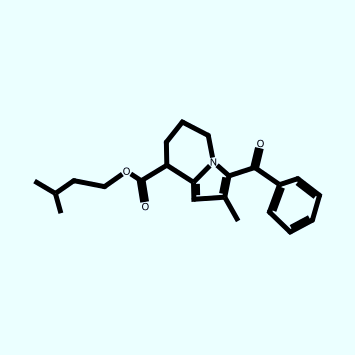 Cc1cc2n(c1C(=O)c1ccccc1)CCCC2C(=O)OCCC(C)C